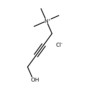 C[N+](C)(C)CC#CCO.[Cl-]